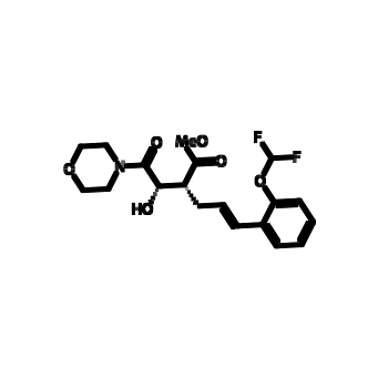 COC(=O)[C@H](CC=Cc1ccccc1OC(F)F)[C@H](O)C(=O)N1CCOCC1